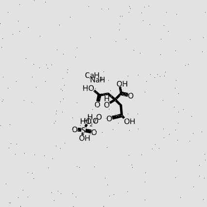 O.O.O=C(O)CC(O)(CC(=O)O)C(=O)O.O=S(=O)(O)O.[CaH2].[NaH]